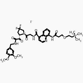 COc1ccc(CNC(=O)C(=O)[C@@H]2CC(F)(F)CN2C(=O)CNC(=O)c2ccnc3c(NC(=O)CCOCC[N+](C)(C)C)cccc23)cc1OC.[I-]